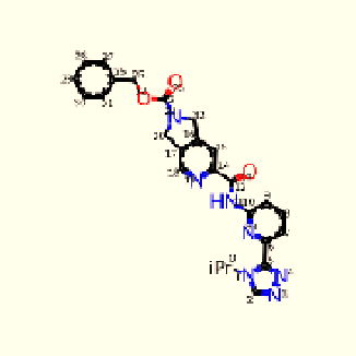 CC(C)n1cnnc1-c1cccc(NC(=O)c2cc3c(cn2)CN(C(=O)OCc2ccccc2)C3)n1